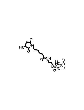 CCOP(=O)(O)OP(=O)(O)OCCNC(=O)CCCCCN1C(=O)CC(S)C1=O